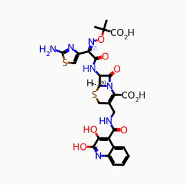 CC(C)(O/N=C(\C(=O)NC1C(=O)N2C(C(=O)O)=C(CNC(=O)c3c(O)c(O)nc4ccccc34)CS[C@@H]12)c1csc(N)n1)C(=O)O